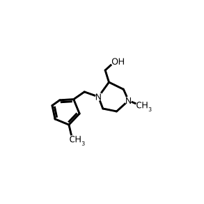 Cc1cccc(CN2CCN(C)CC2CO)c1